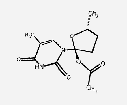 CC(=O)O[C@]1(n2cc(C)c(=O)[nH]c2=O)CC[C@@H](C)O1